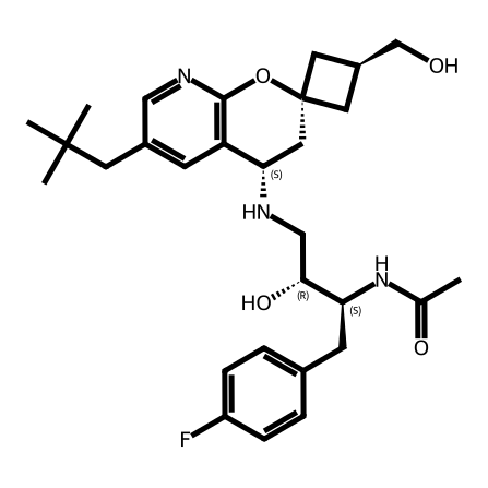 CC(=O)N[C@@H](Cc1ccc(F)cc1)[C@H](O)CN[C@H]1C[C@]2(C[C@H](CO)C2)Oc2ncc(CC(C)(C)C)cc21